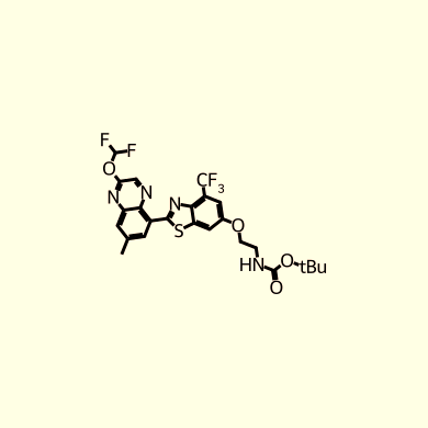 Cc1cc(-c2nc3c(C(F)(F)F)cc(OCCNC(=O)OC(C)(C)C)cc3s2)c2ncc(OC(F)F)nc2c1